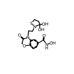 O=C(NO)c1ccc2c(c1)N(CCN1SCCC1(O)O)C(=O)CO2